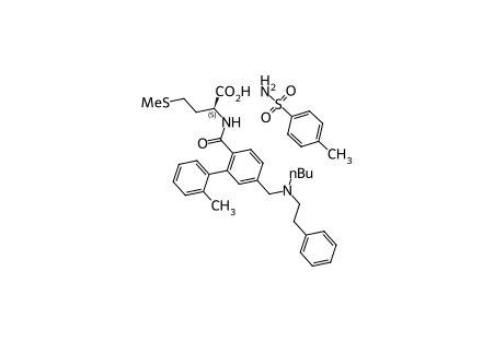 CCCCN(CCc1ccccc1)Cc1ccc(C(=O)N[C@@H](CCSC)C(=O)O)c(-c2ccccc2C)c1.Cc1ccc(S(N)(=O)=O)cc1